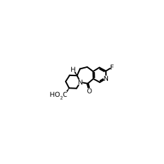 O=C(O)[C@H]1CC[C@@H]2CCc3cc(F)ncc3C(=O)N2C1